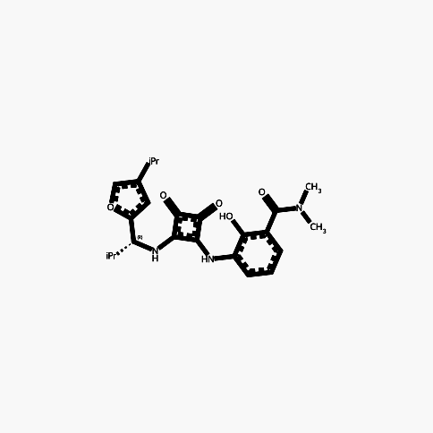 CC(C)c1coc([C@H](Nc2c(Nc3cccc(C(=O)N(C)C)c3O)c(=O)c2=O)C(C)C)c1